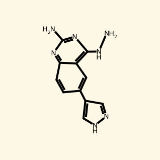 NNc1nc(N)nc2ccc(-c3cn[nH]c3)cc12